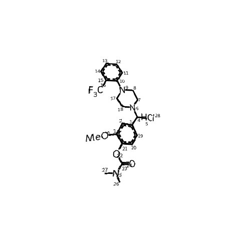 COc1cc(C(C)N2CCN(c3ccccc3C(F)(F)F)CC2)ccc1OC(=O)N(C)C.Cl